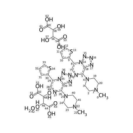 CN1CCN(c2ncc(-c3cccs3)n3nnnc23)CC1.CN1CCN(c2ncc(-c3cccs3)n3nnnc23)CC1.O.O=C(O)C(O)C(O)C(=O)O.O=C(O)C(O)C(O)C(=O)O